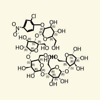 O=[N+]([O-])c1ccc(O[C@H]2[C@@H](O[C@H]3[C@H](O)[C@@H](O)[C@@H](O[C@H]4[C@H](O)[C@@H](O)[C@@H](O[C@H]5[C@H](O)[C@@H](O)[C@@H](O[C@H]6[C@H](O)[C@@H](O)[C@@H](O)O[C@@H]6CO)O[C@@H]5CO)O[C@@H]4CO)O[C@@H]3CO)O[C@H](CO)[C@@H](O)[C@@H]2O)c(Cl)c1